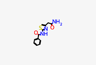 NC(=O)Cc1csc(NC(=O)c2ccccc2)n1